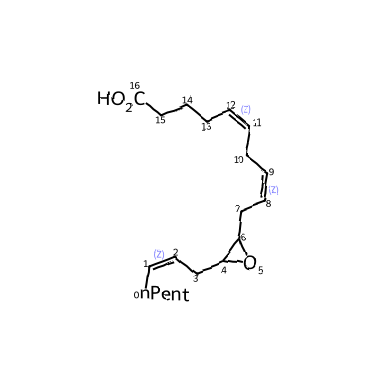 CCCCC/C=C\CC1OC1C/C=C\C/C=C\CCCC(=O)O